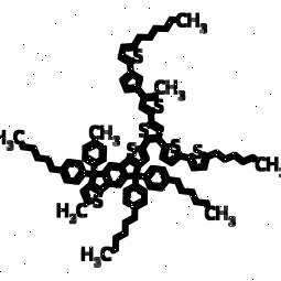 CCCCCCc1ccc(C2(c3ccc(C)cc3)c3cc4c(cc3-c3sc(C)cc32)C(c2ccc(CCCCCC)cc2)(c2ccc(CCCCCC)cc2)c2cc(-c3sc(-c5cc(C6=CC=C(c7ccc(CCCCCC)s7)C6)c(C)s5)cc3-c3ccc(-c5ccc(CCCCCC)s5)s3)sc2-4)cc1